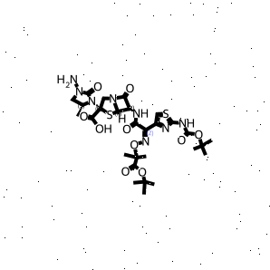 C[C@H]1CN(N)C(=O)N1[C@]1(C(=O)O)CN2C(=O)[C@@H](NC(=O)/C(=N\OC(C)(C)C(=O)OC(C)(C)C)c3csc(NC(=O)OC(C)(C)C)n3)[C@H]2S1